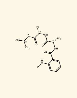 CC[C@H](NC(=O)[C@H](C)NC(=O)c1ccccc1NI)C(=O)N[C@@H](C)C(C)=O